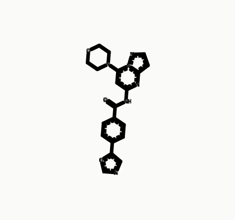 O=C(Nc1cc(N2CCOCC2)n2nccc2n1)c1ccc(-c2cnco2)cc1